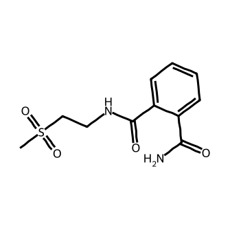 CS(=O)(=O)CCNC(=O)c1ccccc1C(N)=O